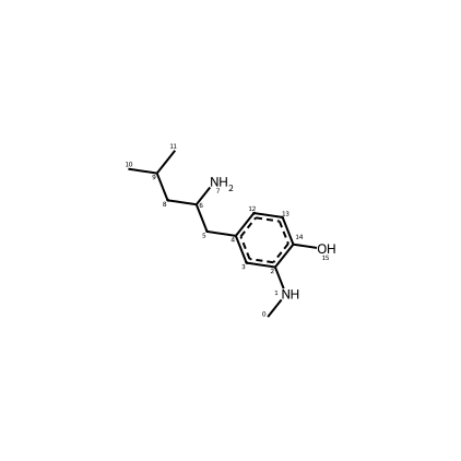 CNc1cc(CC(N)CC(C)C)ccc1O